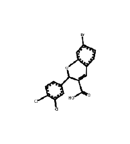 O=C(O)C1=Cc2ccc(Br)cc2OC1c1ccc(Cl)c(Cl)c1